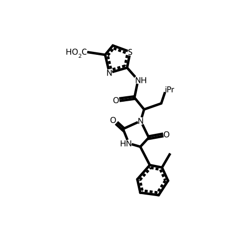 Cc1ccccc1C1NC(=O)N(C(CC(C)C)C(=O)Nc2nc(C(=O)O)cs2)C1=O